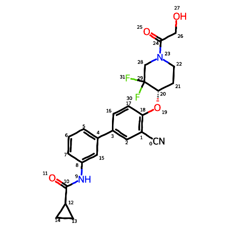 N#Cc1cc(-c2cccc(NC(=O)C3CC3)c2)ccc1O[C@H]1CCN(C(=O)CO)CC1(F)F